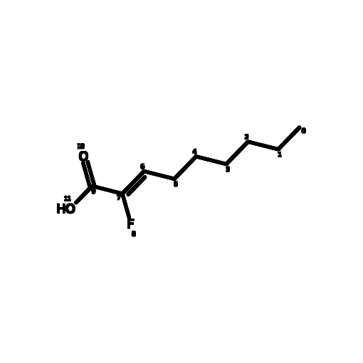 CCCCCCC=C(F)C(=O)O